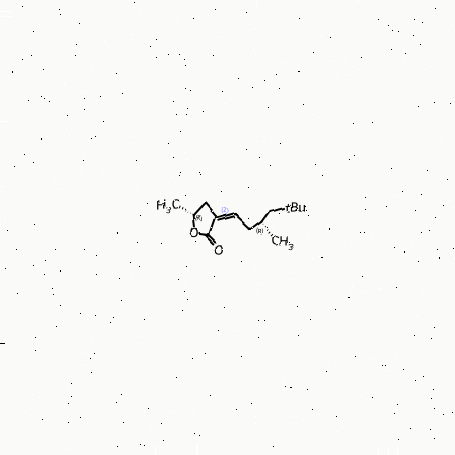 C[C@H](C/C=C1/C[C@@H](C)OC1=O)CC(C)(C)C